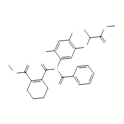 COC(=O)C1=C(C(=O)N(C(=O)c2ccccc2)c2cc(SC(C)C(=O)OC)c(Cl)cc2F)CCCC1